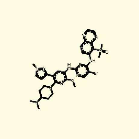 COc1nc(N2CCC(N(C)C)CC2)c(-c2ccn(C)n2)cc1Nc1ncc(Br)c(Nc2ccc3nccnc3c2P(C)(C)=O)n1